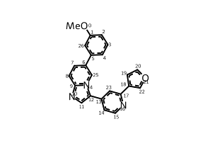 COc1cccc(-c2ccc3ncc(-c4ccnc(-c5ccoc5)c4)n3c2)c1